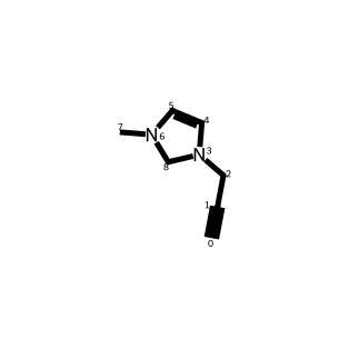 C#CCN1C=CN(C)C1